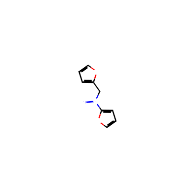 NN(Cc1ccco1)c1ccco1